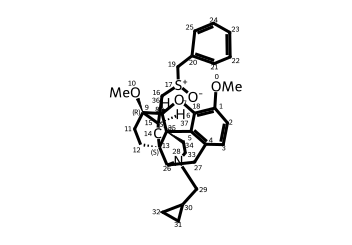 COc1ccc2c3c1O[C@H]1[C@@]4(OC)CC[C@@]5(C[C@@H]4C[S+]([O-])Cc4ccccc4)C(C2)N(CC2CC2)CC[C@]315